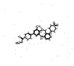 Cc1cc(C2=CCN(C(=O)OC(C)(C)C)CC2)cc2c1OCc1c(ncnc1N1CCS(=O)(=O)CC1)N2